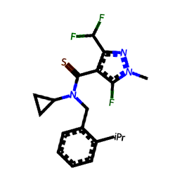 CC(C)c1ccccc1CN(C(=S)c1c(C(F)F)nn(C)c1F)C1CC1